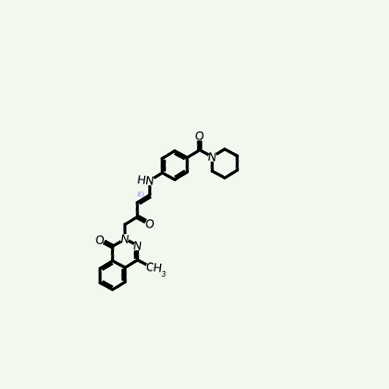 Cc1nn(CC(=O)/C=C/Nc2ccc(C(=O)N3CCCCC3)cc2)c(=O)c2ccccc12